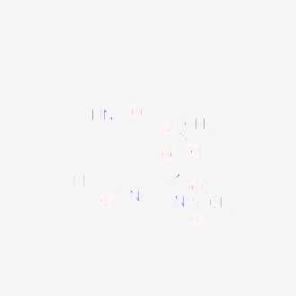 CS(=O)(=O)OC[C@@H]1CN(C(=O)c2ccc(NC(=O)c3ccccc3-c3ccccc3)cc2Cl)c2ccccc2CN1S(C)(=O)=O